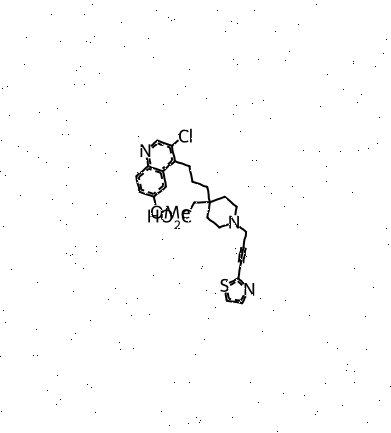 COc1ccc2ncc(Cl)c(CCCC3(CC(=O)O)CCN(CC#Cc4nccs4)CC3)c2c1